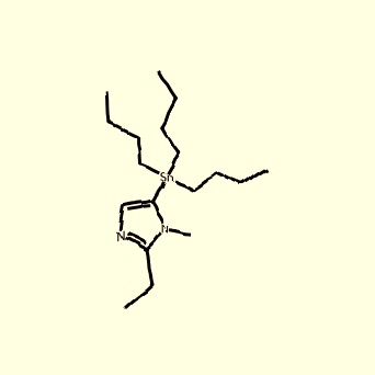 CCC[CH2][Sn]([CH2]CCC)([CH2]CCC)[c]1cnc(CC)n1C